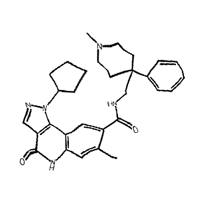 Cc1cc2[nH]c(=O)c3cnn(C4CCCC4)c3c2cc1C(=O)NCC1(c2ccccc2)CCN(C)CC1